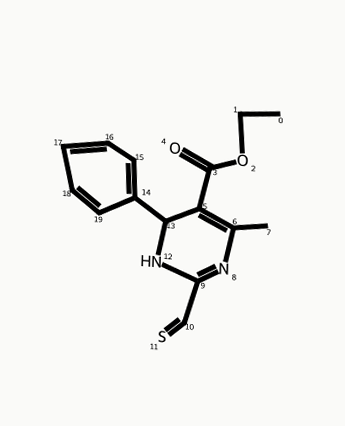 CCOC(=O)C1=C(C)N=C(C=S)NC1c1ccccc1